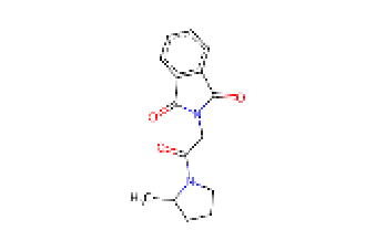 CC1CCCN1C(=O)CN1C(=O)c2ccccc2C1=O